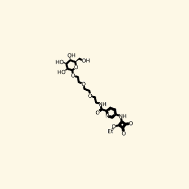 CCOc1c(Nc2ccc(C(=O)NCCOCCOCCOC3O[C@H](CO)[C@@H](O)[C@H](O)[C@@H]3O)nc2)c(=O)c1=O